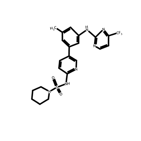 Cc1cc(Nc2nccc(C(F)(F)F)n2)cc(-c2ccc(NS(=O)(=O)N3CCCCC3)nc2)c1